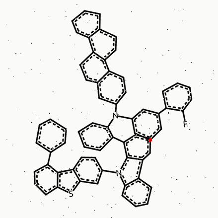 Fc1ccccc1-c1cccc(N(c2ccc3c(ccc4c5ccccc5ccc34)c2)c2ccccc2-c2cccc3c4ccccc4n(-c4ccc5c(c4)sc4cccc(-c6ccccc6)c45)c23)c1